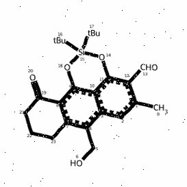 Cc1cc2c(CO)c3c(c4c2c(c1C=O)O[Si](C(C)(C)C)(C(C)(C)C)O4)C(=O)CCC3